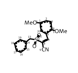 COc1ccc(OC)c(C=C(C#N)S(=O)(=O)Cc2ccccc2)c1